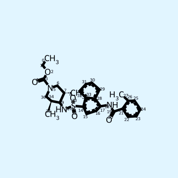 CCOC(=O)N1C[C@H](C)C(NS(=O)(=O)c2ccc(NC(=O)c3ccccc3C)c3ccccc23)[C@@H](C)C1